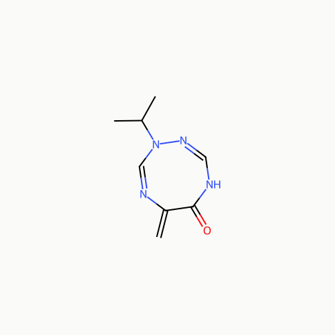 C=C1/N=C\N(C(C)C)/N=C\NC1=O